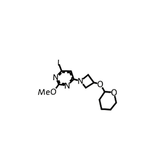 COc1nc(I)cc(N2CC(OC3CCCCO3)C2)n1